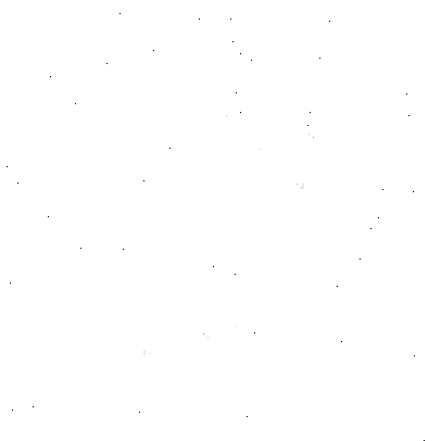 O=C(c1cc2cc(Nc3ncc(F)c(Nc4ccc5c(c4)OOCC5)n3)ccc2o1)N1CCNCC1.[Cl-].[H+]